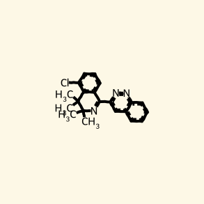 CC1(C)N=C(c2cc3ccccc3nn2)c2cccc(Cl)c2C1(C)C